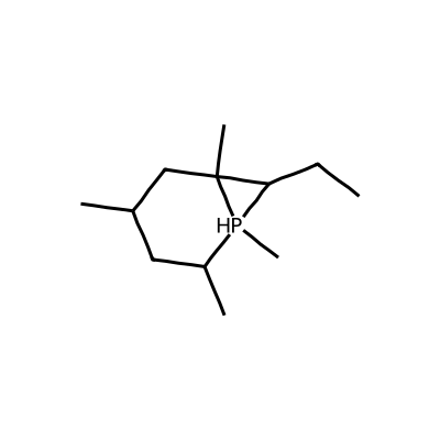 CCC1C2(C)CC(C)CC(C)[PH]12C